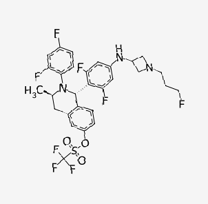 C[C@@H]1Cc2cc(OS(=O)(=O)C(F)(F)F)ccc2[C@@H](c2c(F)cc(NC3CN(CCCF)C3)cc2F)N1c1ccc(F)cc1F